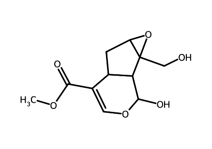 COC(=O)C1=COC(O)C2C1CC1OC12CO